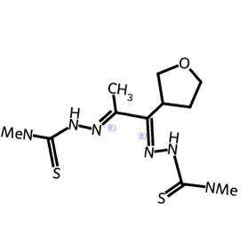 CNC(=S)N/N=C(C)/C(=N/NC(=S)NC)C1CCOC1